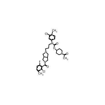 CC(=O)N1CCC(OC(=O)N(CCCN2CC3CN(C(=O)c4c(F)ccc(C)c4Cl)CC3C2)c2ccc(C)c(Cl)c2)CC1